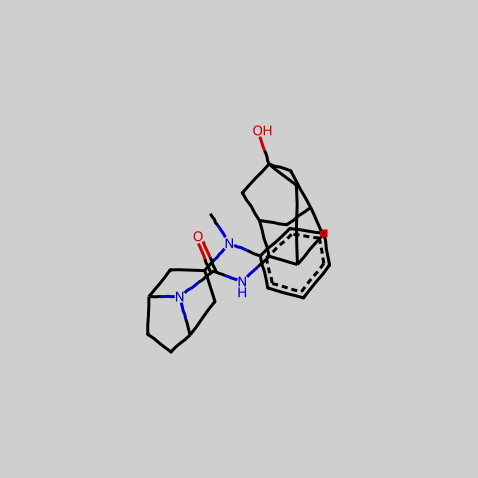 CN(c1ccccc1)C1CC2CCC(C1)N2C(=O)NC1C2CC3CC1CC(O)(C3)C2